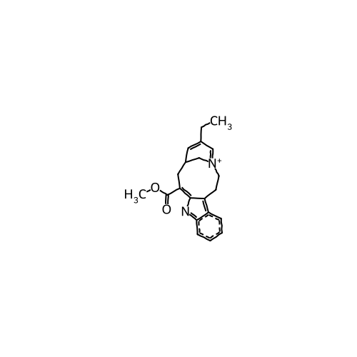 CCC1=CC2C/C(C(=O)OC)=C3/N=c4ccccc4=C3CC[N+](=C1)C2